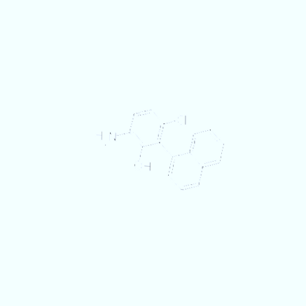 Nc1ccc(Cl)c(-c2cccc3ccccc23)c1O